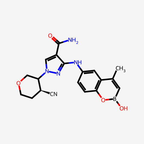 CC1=CB(O)Oc2ccc(Nc3nn(C4COCC[C@@H]4C#N)cc3C(N)=O)cc21